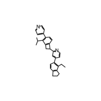 CCc1c(-c2ccnc(C3Cc4c3ccc(-c3ccncc3)c4C(C)C)c2)ccc2c1CCC2